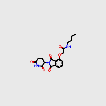 CCCCNC(=O)COc1cccc2c1C(=O)N(C1CCC(=O)NC1=O)C2=O